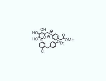 CCOc1ccc(Cc2cc([C@@H]3O[C@H](CS(=O)(=O)c4ccc(CC(=O)OC)cc4)[C@@H](O)[C@H](O)[C@H]3O)ccc2Cl)cc1